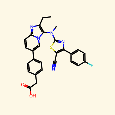 CCc1nc2ccc(-c3ccc(CC(=O)O)cc3)cn2c1N(C)c1nc(-c2ccc(F)cc2)c(C#N)s1